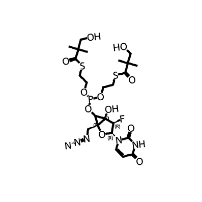 CC(C)(CO)C(=O)SCCOP(OCCSC(=O)C(C)(C)CO)OC1[C@@]2(CN=[N+]=[N-])O[C@@H](n3ccc(=O)[nH]c3=O)[C@H](F)[C@@]12O